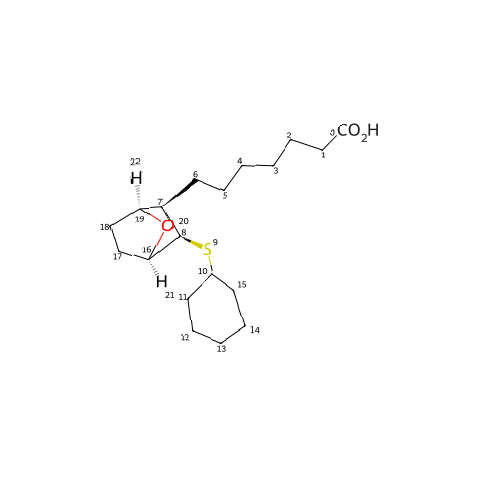 O=C(O)CCCCCC[C@H]1[C@@H](SC2CCCCC2)[C@H]2CC[C@@H]1O2